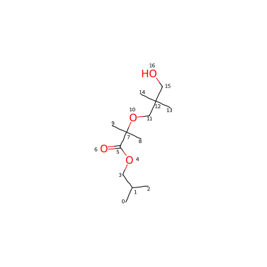 CC(C)COC(=O)C(C)(C)OCC(C)(C)CO